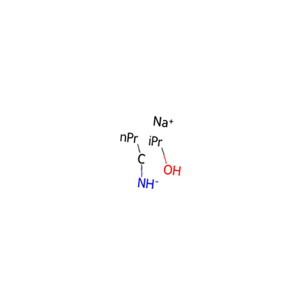 CC(C)O.CCCC[NH-].[Na+]